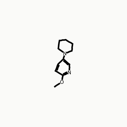 COc1ccc(N2CCCCC2)cn1